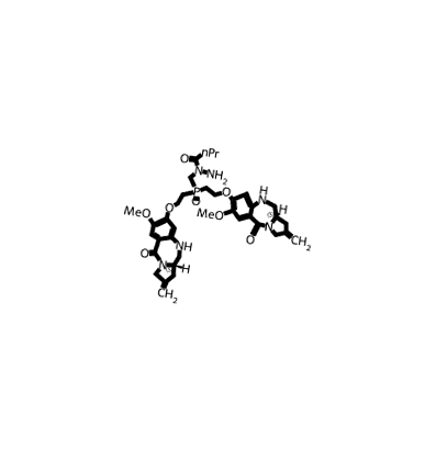 C=C1C[C@H]2CNc3cc(OCCP(=O)(CCOc4cc5c(cc4OC)C(=O)N4CC(=C)C[C@H]4CN5)CN(N)C(=O)CCC)c(OC)cc3C(=O)N2C1